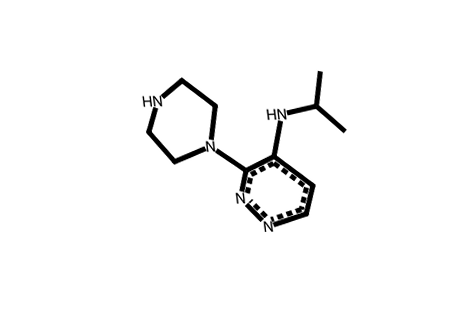 CC(C)Nc1ccnnc1N1CCNCC1